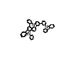 c1ccc(-n2c3ccccc3c3cc(-c4ccccc4-n4c5ccccc5c5cc(-c6cccc(-n7c8ccccc8c8ccccc87)c6)ccc54)ccc32)cc1